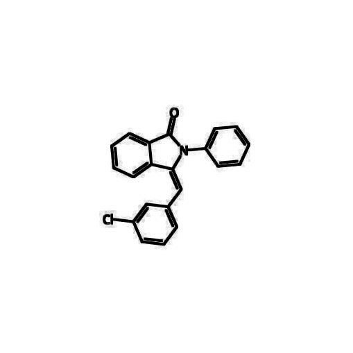 O=C1c2ccccc2C(=Cc2cccc(Cl)c2)N1c1ccccc1